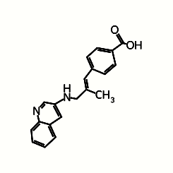 CC(=Cc1ccc(C(=O)O)cc1)CNc1cnc2ccccc2c1